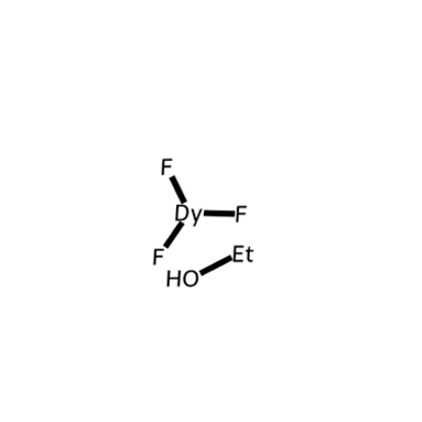 CCO.[F][Dy]([F])[F]